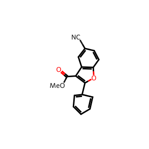 COC(=O)c1c(-c2ccccc2)oc2ccc(C#N)cc12